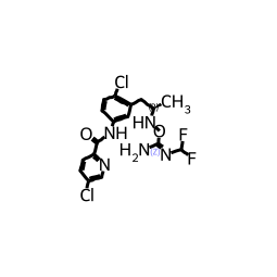 C[C@H](Cc1cc(NC(=O)c2ccc(Cl)cn2)ccc1Cl)NO/C(N)=N\C(F)F